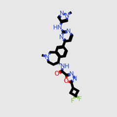 CN1CC[C@@H](NC(=O)c2nnc(C3CC(F)(F)C3)o2)c2ccc(-c3ccnc(Nc4cnn(C)c4)n3)cc2C1